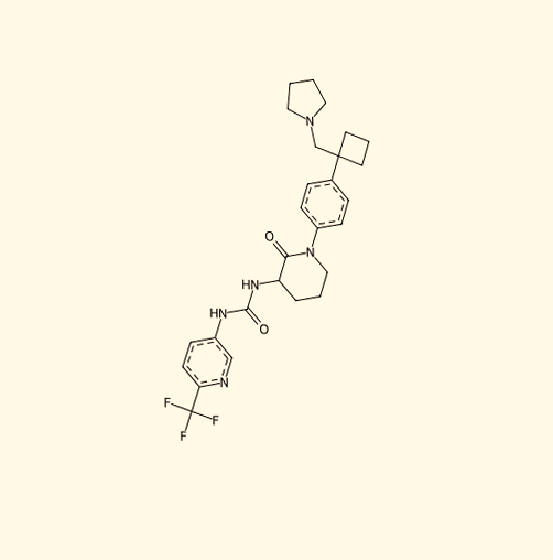 O=C(Nc1ccc(C(F)(F)F)nc1)NC1CCCN(c2ccc(C3(CN4CCCC4)CCC3)cc2)C1=O